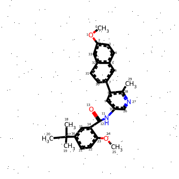 COc1ccc2cc(-c3cc(NC(=O)c4cc(C(C)(C)C)ccc4OC)cnc3C)ccc2c1